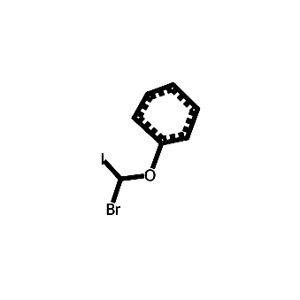 BrC(I)Oc1ccccc1